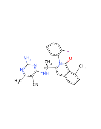 Cc1nc(N)nc(N[C@@H](C)c2cc3cccc(C)c3c(=O)n2-c2ccccc2I)c1C#N